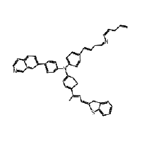 C=CC/C=C\N=C/C/C=C/c1ccc(N(C2=CC=C(/C(C)=C/C=C3\Cc4ccccc4S3)CC2)c2ccc(-c3ccc4ccncc4c3)cc2)cc1